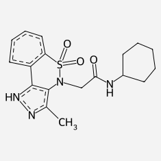 Cc1n[nH]c2c1N(CC(=O)NC1CCCCC1)S(=O)(=O)c1ccccc1-2